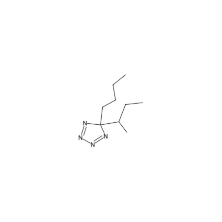 CCCCC1(C(C)CC)N=NN=N1